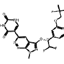 Cn1nc(O[C@H](c2ccnc(OCC(C)(F)F)c2)C(F)F)c2cc(-c3c[nH]c(=O)[nH]c3=O)nnc21